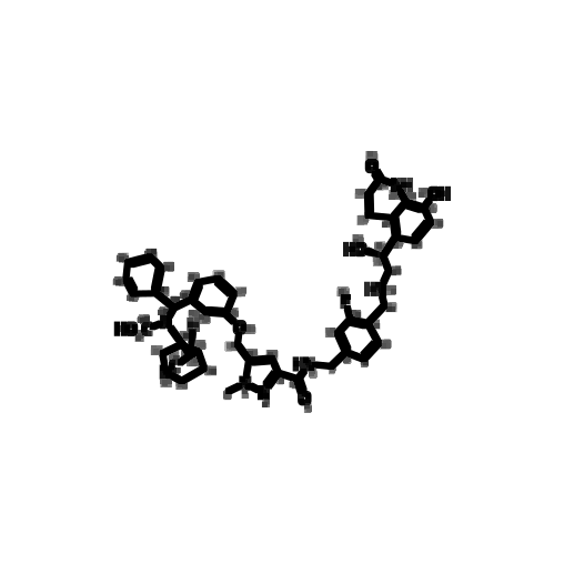 Cn1nc(C(=O)NCc2ccc(CNC[C@@H](O)c3ccc(O)c4[nH]c(=O)ccc34)c(F)c2)cc1COc1cccc(C(c2ccccc2)N(C(=O)O)[C@H]2CN3CCC2CC3)c1